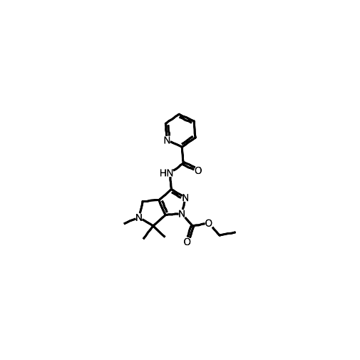 CCOC(=O)n1nc(NC(=O)c2ccccn2)c2c1C(C)(C)N(C)C2